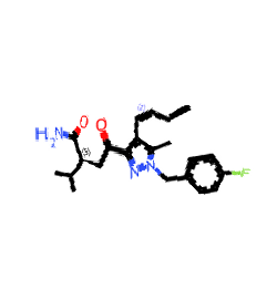 C=C/C=C\c1c(C(=O)C[C@H](C(N)=O)C(C)C)nn(Cc2ccc(F)cc2)c1C